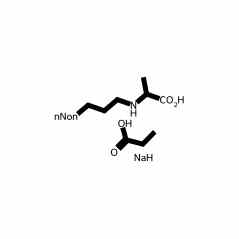 CCC(=O)O.CCCCCCCCCCCCNC(C)C(=O)O.[NaH]